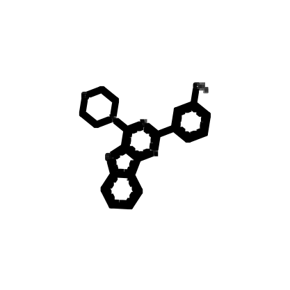 Cc1cccc(-c2nc(N3CCOCC3)c3oc4ccccc4c3n2)c1